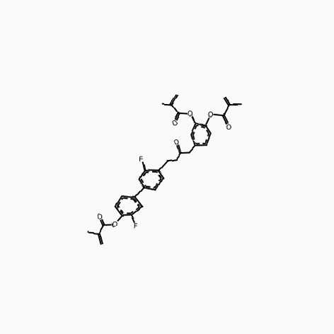 C=C(C)C(=O)Oc1ccc(-c2ccc(CCC(=O)Cc3ccc(OC(=O)C(=C)C)c(OC(=O)C(=C)C)c3)c(F)c2)cc1F